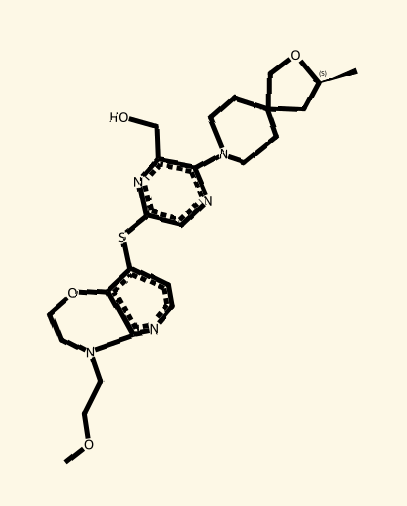 COCCN1CCOc2c(Sc3cnc(N4CCC5(CC4)CO[C@@H](C)C5)c(CO)n3)ccnc21